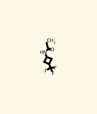 CCC(=O)NC1CC(C(F)(F)F)C1